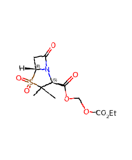 CCOC(=O)OCOC(=O)[C@@H]1N2C(=O)C[C@H]2S(=O)(=O)C1(C)C